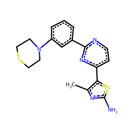 Cc1nc(N)sc1-c1ccnc(-c2[c]ccc(N3CCSCC3)c2)n1